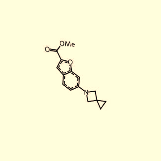 COC(=O)c1cc2ccc(N3CC4(CC4)C3)cc2o1